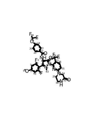 COc1cc(F)c(-c2c(NC(=O)c3ccc(OC(F)F)cc3)c(=O)n(-c3nc(N4CCNC(=O)C4)ccc3C(F)(F)F)n2C)c(F)c1